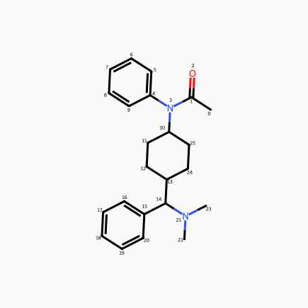 CC(=O)N(c1ccccc1)C1CCC(C(c2ccccc2)N(C)C)CC1